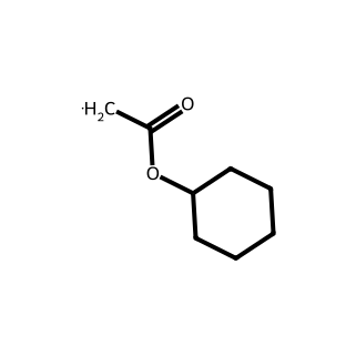 [CH2]C(=O)OC1CCCCC1